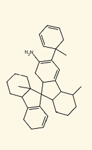 CC1CCCC2C1C1=CC(C3(C)C=CC=CC3)=C(N)CC1C21C2=C(CCC=C2)C2CCCCC21C